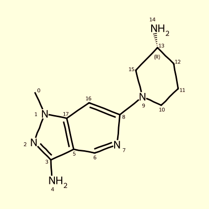 Cn1nc(N)c2cnc(N3CCC[C@@H](N)C3)cc21